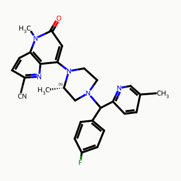 Cc1ccc(C(c2ccc(F)cc2)N2CCN(c3cc(=O)n(C)c4ccc(C#N)nc34)[C@@H](C)C2)nc1